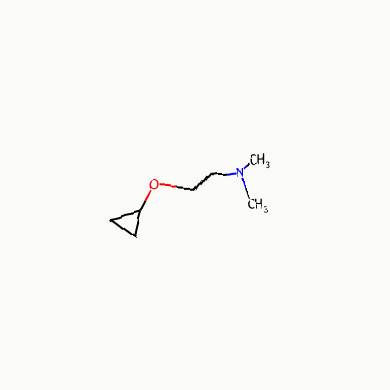 CN(C)CCOC1CC1